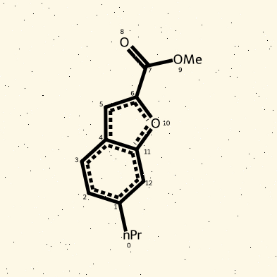 CCCc1ccc2cc(C(=O)OC)oc2c1